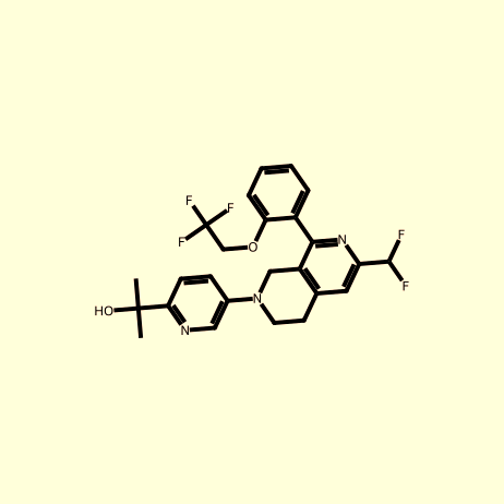 CC(C)(O)c1ccc(N2CCc3cc(C(F)F)nc(-c4ccccc4OCC(F)(F)F)c3C2)cn1